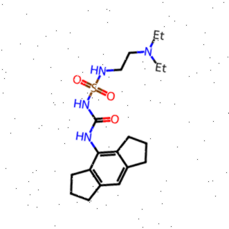 CCN(CC)CCNS(=O)(=O)NC(=O)Nc1c2c(cc3c1CCC3)CCC2